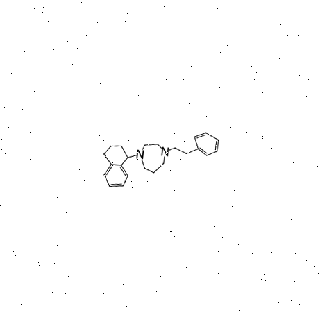 c1ccc(CCN2CCCN(C3CCCc4ccccc43)CC2)cc1